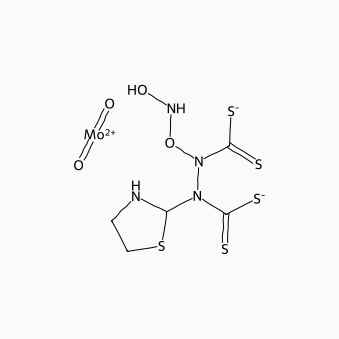 ONON(C(=S)[S-])N(C(=S)[S-])C1NCCS1.[O]=[Mo+2]=[O]